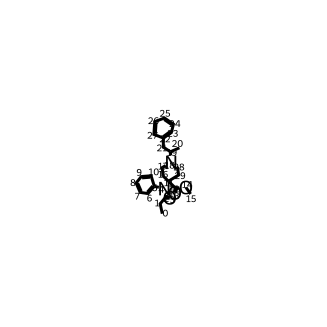 CCC(=O)N(c1ccccc1)C1(C(=O)OC)CCN(C(C)Cc2ccccc2)CC1